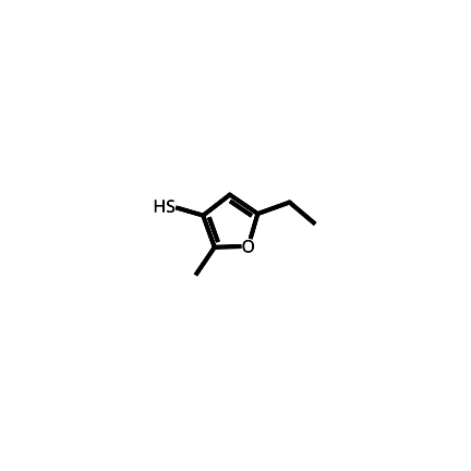 CCc1cc(S)c(C)o1